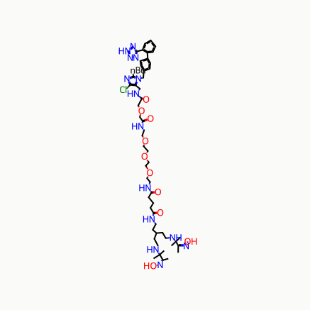 CCCCc1nc(Cl)c(CNC(=O)COCC(=O)NCCOCCOCCOCCNC(=O)CCCC(=O)NCCC(CCNC(C)(C)/C(C)=N\O)CCNC(C)(C)/C(C)=N\O)n1Cc1ccc(-c2ccccc2-c2nn[nH]n2)cc1